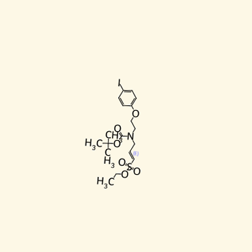 CCOS(=O)(=O)/C=C/CN(CCOc1ccc(I)cc1)C(=O)OC(C)(C)C